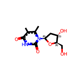 Cc1c(C)n([C@H]2C[C@H](O)[C@@H](CO)O2)c(=O)[nH]c1=O